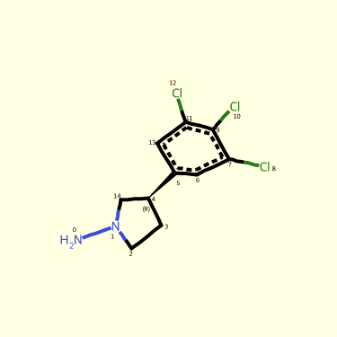 NN1CC[C@H](c2cc(Cl)c(Cl)c(Cl)c2)C1